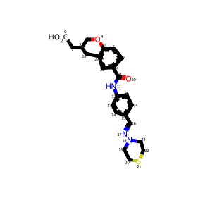 O=C(O)CC1COc2ccc(C(=O)Nc3ccc(C=NN4CCSCC4)cc3)cc2C1